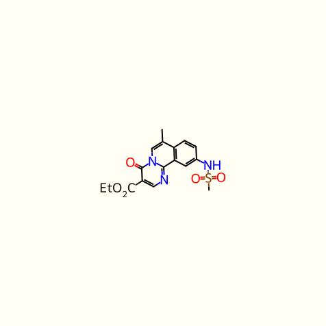 CCOC(=O)c1cnc2c3cc(NS(C)(=O)=O)ccc3c(C)cn2c1=O